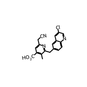 Cc1c(C(=O)O)cc(CC#N)nc1Cc1ccc2ncc(Cl)cc2c1